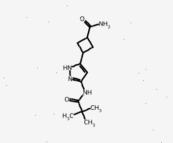 CC(C)(C)C(=O)Nc1cc(C2CC(C(N)=O)C2)[nH]n1